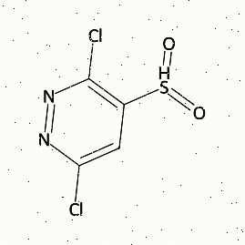 O=[SH](=O)c1cc(Cl)nnc1Cl